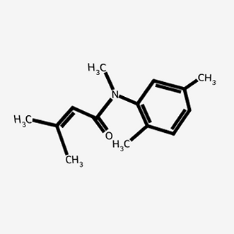 CC(C)=CC(=O)N(C)c1cc(C)ccc1C